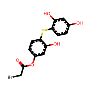 CC(C)CC(=O)Oc1ccc(Sc2ccc(O)cc2O)c(O)c1